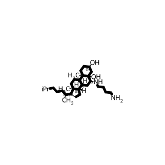 CC(C)CCC[C@@H](C)[C@H]1CC[C@H]2[C@@H]3C[C@@H](NCCCCN)[C@@]4(O)C[C@@H](O)CC[C@]4(C)[C@H]3CC[C@]12C